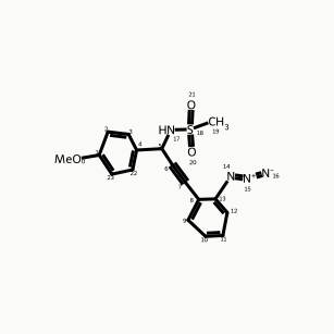 COc1ccc(C(C#Cc2ccccc2N=[N+]=[N-])NS(C)(=O)=O)cc1